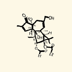 CCC(=O)O[C@@H]1[C@@H](C)[C@]2(O)[C@@H]3C=C(C)C(=O)[C@@]3(O)CC(CO)=C[C@@]2(C)[C@H]2C(C)(C)[C@]12OC(=O)CC